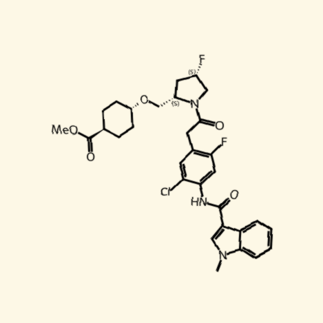 COC(=O)[C@H]1CC[C@H](OC[C@@H]2C[C@H](F)CN2C(=O)Cc2cc(Cl)c(NC(=O)c3cn(C)c4ccccc34)cc2F)CC1